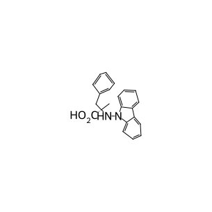 C[C@](Cc1ccccc1)(Nn1c2ccccc2c2ccccc21)C(=O)O